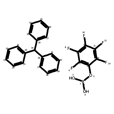 OB(O)Oc1c(F)c(F)c(F)c(F)c1F.c1ccc(C(c2ccccc2)c2ccccc2)cc1